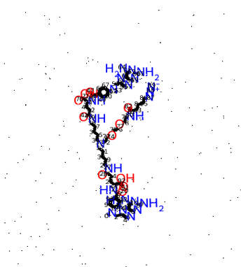 CN(Cc1cnc2nc(N)nc(N)c2n1)c1ccc(C(=O)NC(CCC(=O)NCCCCCN(CCCCCNC(=O)CCC(NC(=O)c2ccc(N(C)Cc3cnc4nc(N)nc(N)c4n3)cc2)C(=O)O)CCOCCOCCNC(=O)CCCCN=[N+]=[N-])C(=O)O)cc1